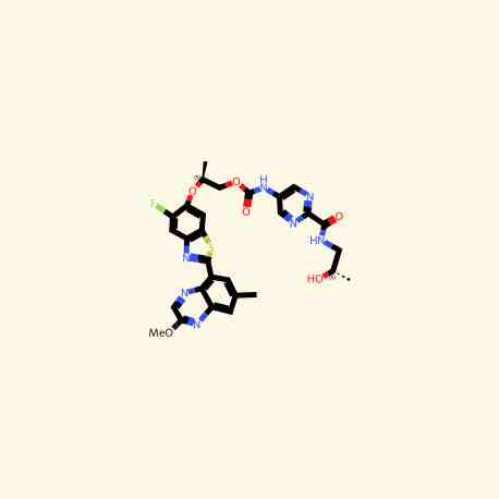 COc1cnc2c(-c3nc4cc(F)c(O[C@@H](C)COC(=O)Nc5cnc(C(=O)NC[C@H](C)O)nc5)cc4s3)cc(C)cc2n1